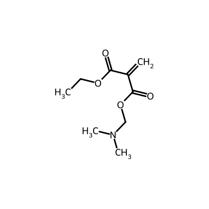 C=C(C(=O)OCC)C(=O)OCN(C)C